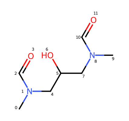 CN(C=O)CC(O)CN(C)C=O